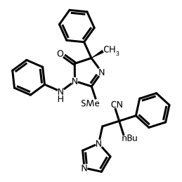 CCCCC(C#N)(Cn1ccnc1)c1ccccc1.CSC1=N[C@@](C)(c2ccccc2)C(=O)N1Nc1ccccc1